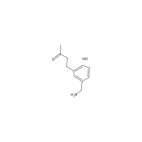 CC(=O)CCc1cccc(CN)c1.Cl